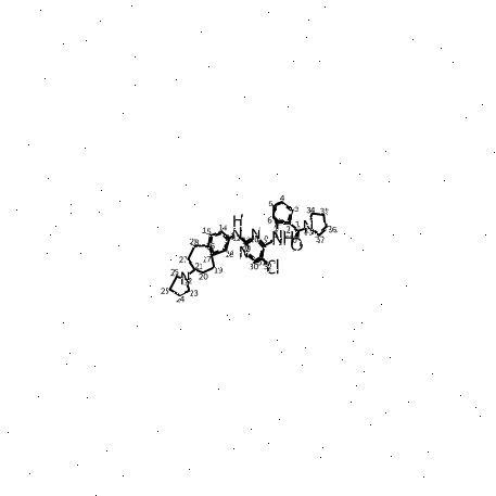 O=C(c1ccccc1Nc1nc(Nc2ccc3c(c2)CCC(N2CCCC2)CC3)ncc1Cl)N1CCCC1